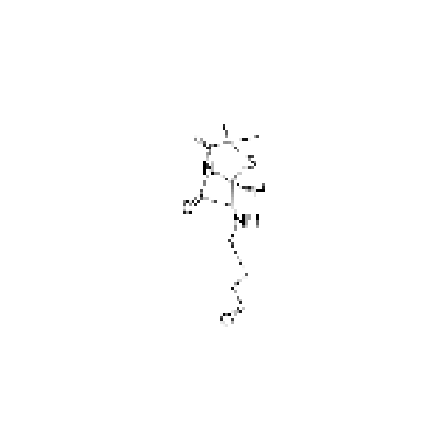 C=C1N2C(=O)[C@@H](NCCCC=O)[C@H]2SC1(C)C